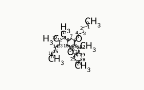 CCCCCOc1cc(C(C)C(C)CCCCC)cc2c1C(C)C1=C(CC(C)CC1)O2